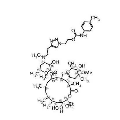 CC[C@H]1OC(=O)[C@H](C)[C@@H](C2C[C@@](C)(OC)[C@@H](O)[C@H](C)O2)[C@H](C)[C@@H](O[C@@H]2O[C@H](C)C[C@H](N(C)CCc3cn(CCOC(=O)Nc4ccc(C)cc4)nn3)[C@H]2O)[C@](C)(O)C[C@@H](C)CN(C)[C@H](C)[C@@H](O)[C@]1(C)O